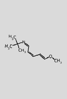 CO/C=C/C=C\C=N/C(C)(C)C